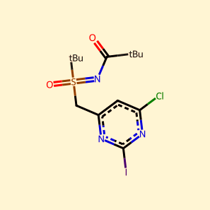 CC(C)(C)C(=O)N=S(=O)(Cc1cc(Cl)nc(I)n1)C(C)(C)C